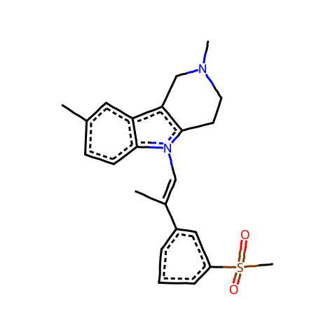 C/C(=C\n1c2c(c3cc(C)ccc31)CN(C)CC2)c1cccc(S(C)(=O)=O)c1